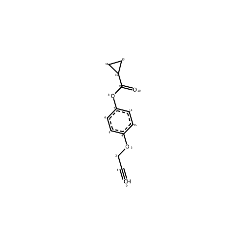 C#CCOc1ccc(OC(=O)C2CC2)cc1